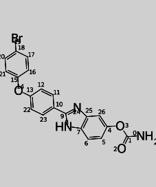 NC(=O)Oc1ccc2[nH]c(-c3ccc(Oc4ccc(Br)cc4)cc3)nc2c1